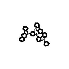 c1ccc(-n2c3ccccc3c3c(N(c4ccc(-n5c6ccccc6c6cc7ccccc7cc65)cc4)c4cccc5c4oc4ccccc45)cccc32)cc1